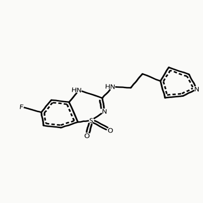 O=S1(=O)N=C(NCCc2ccncc2)Nc2cc(F)ccc21